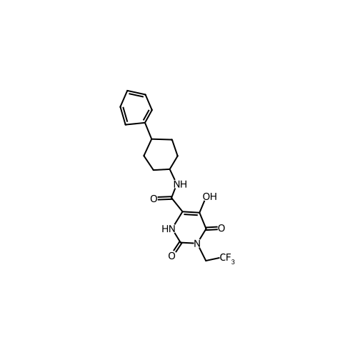 O=C(NC1CCC(c2ccccc2)CC1)c1[nH]c(=O)n(CC(F)(F)F)c(=O)c1O